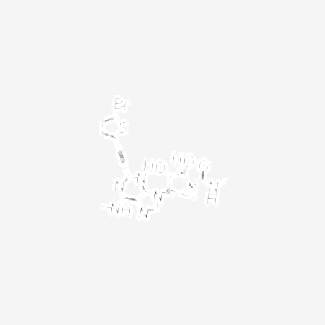 CNC(=O)[C@]12CC1[C@@H](n1cnc3c(NC)nc(C#Cc4ccc(Br)s4)nc31)C(O)[C@@H]2O